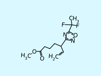 C=CC(CCCC(=O)OC)c1noc(C(C)(F)F)n1